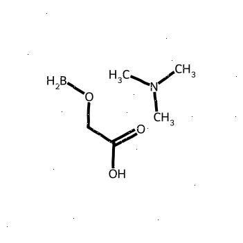 BOCC(=O)O.CN(C)C